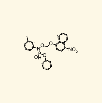 Cc1[c]c(N(OCOc2ccc([N+](=O)[O-])c3cccnc23)[PH](=O)Oc2ccccc2)ccc1